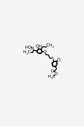 CCCc1c(OCCCSc2ccc(CC(=O)OC)cc2Cl)ccc(/C(CC)=N/O)c1O